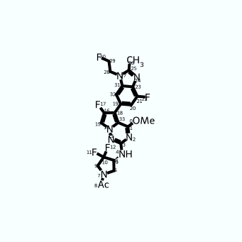 COc1nc(N[C@@H]2CN(C(C)=O)CC2(F)F)nn2cc(F)c(-c3cc(F)c4nc(C)n(CCF)c4c3)c12